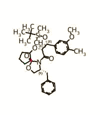 COc1cc([C@@H](O[Si](C)(C)C(C)(C)C)[C@@H](OC2CCCC2)C(=O)N2C(=O)OC[C@H]2Cc2ccccc2)ccc1C